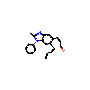 C=C/C=C\c1cc2c(cc1/C=C\C=O)nc(C)n2-c1ccccc1